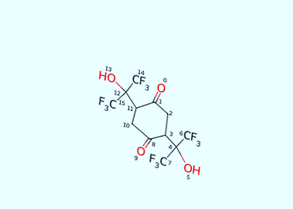 O=C1CC(C(O)(C(F)(F)F)C(F)(F)F)C(=O)CC1C(O)(C(F)(F)F)C(F)(F)F